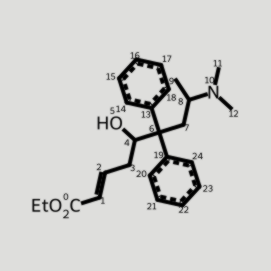 CCOC(=O)C=CCC(O)C(CC(C)N(C)C)(c1ccccc1)c1ccccc1